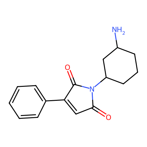 NC1CCCC(N2C(=O)C=C(c3ccccc3)C2=O)C1